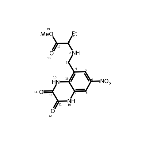 CCC(NCc1cc([N+](=O)[O-])cc2[nH]c(=O)c(=O)[nH]c12)C(=O)OC